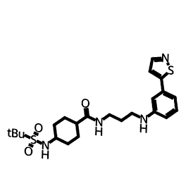 CC(C)(C)S(=O)(=O)NC1CCC(C(=O)NCCCNc2cccc(-c3ccns3)c2)CC1